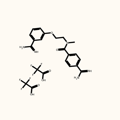 CN(CCOc1cccc(C(=N)N)c1)C(=O)c1ccc(C(=N)N)cc1.O=C(O)C(F)(F)F.O=C(O)C(F)(F)F